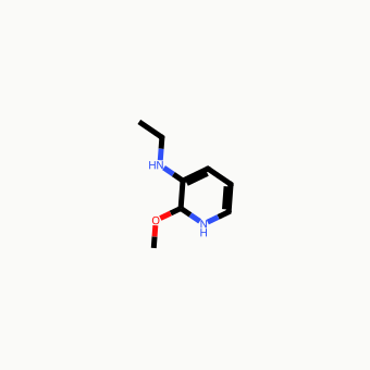 CCNC1=CC=CN[C]1OC